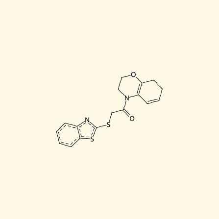 O=C(CSc1nc2ccccc2s1)N1CCOC2=C1C=CCC2